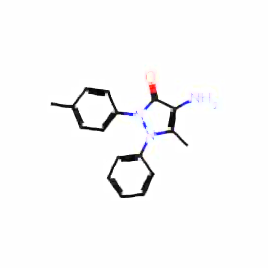 Cc1ccc(-n2c(=O)c(N)c(C)n2-c2ccccc2)cc1